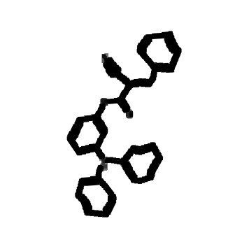 N#C/C(=C\c1ccccc1)C(=O)Oc1cccc([SH](c2ccccc2)c2ccccc2)c1